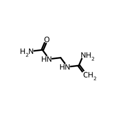 C=C(N)NCNC(N)=O